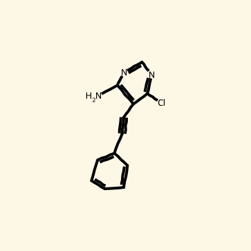 Nc1ncnc(Cl)c1C#Cc1ccccc1